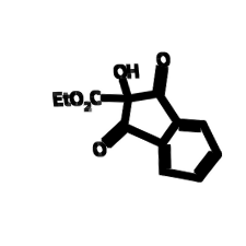 CCOC(=O)C1(O)C(=O)c2ccccc2C1=O